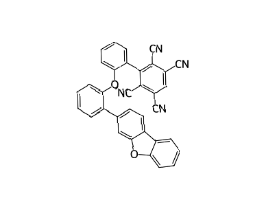 N#Cc1cc(C#N)c(C#N)c(-c2ccccc2Oc2ccccc2-c2ccc3c(c2)oc2ccccc23)c1C#N